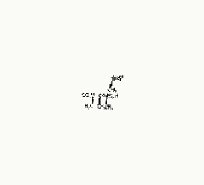 CC(=O)O.CC(=O)O.CC(=O)O.[CH2]CCCCCCC